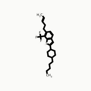 C/C=C/CCc1ccc2cc(C3CCC(CCCCC)CC3)sc2c1C(F)(F)F